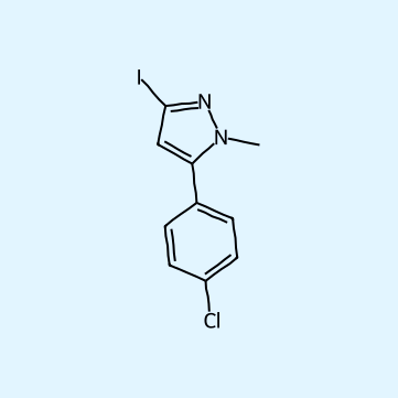 Cn1nc(I)cc1-c1ccc(Cl)cc1